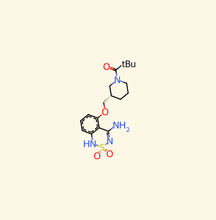 CC(C)(C)C(=O)N1CCC[C@H](COc2cccc3c2C(N)=NS(=O)(=O)N3)C1